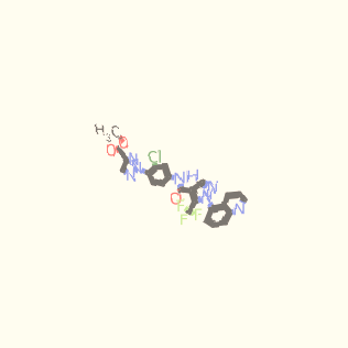 COC(=O)c1cnn(-c2ccc(NC(=O)c3cnn(-c4cccc5ncccc45)c3C(F)(F)F)cc2Cl)n1